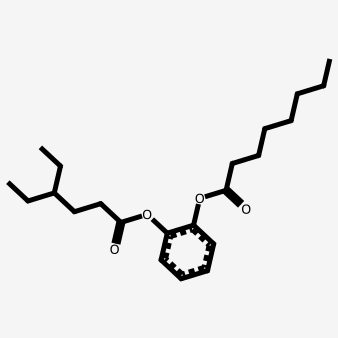 CCCCCCCC(=O)Oc1ccccc1OC(=O)CCC(CC)CC